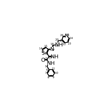 N=C(C(=O)NCc1ccccc1)c1sccc1/N=C/NCc1cccnc1